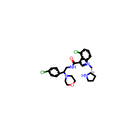 O=C(NCC(c1ccc(Cl)cc1)N1CCOCC1)c1cn(C[C@@H]2CCCN2)c2cccc(Cl)c12